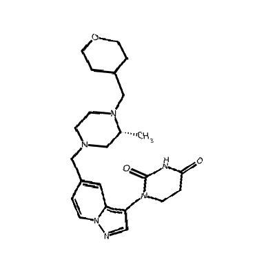 C[C@@H]1CN(Cc2ccn3ncc(N4CCC(=O)NC4=O)c3c2)CCN1CC1CCOCC1